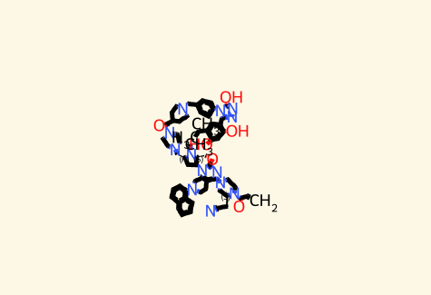 C=CC(=O)N1CCN(c2nc(OC[C@@H]3CC[C@H](CN4CCN(C(=O)C5CCN(Cc6ccc(-n7c(O)nnc7-c7cc(C(C)C)c(O)cc7O)cc6)CC5)CC4)N3C)nc3c2CCN(c2cccc4ccccc24)C3)C[C@@H]1CC#N